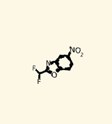 O=[N+]([O-])c1ccc2oc(C(F)F)nc2c1